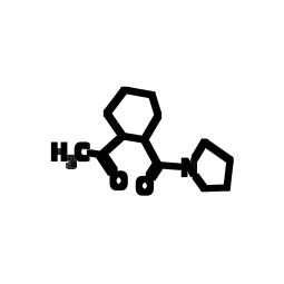 CC(=O)C1CCCCC1C(=O)N1CCCC1